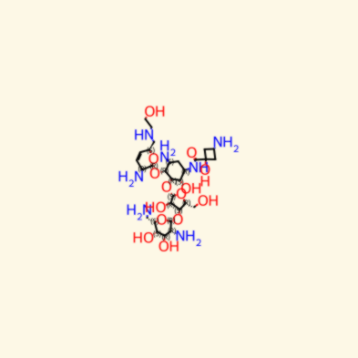 NC[C@@H]1O[C@H](O[C@H]2[C@@H](O)[C@H](O[C@@H]3[C@@H](O)[C@H](NC(=O)C4(O)CC(N)C4)C[C@H](N)[C@H]3O[C@H]3O[C@H](CNCCO)C=C[C@H]3N)O[C@@H]2CO)[C@H](N)[C@@H](O)[C@@H]1O